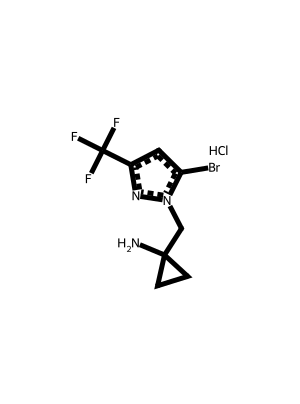 Cl.NC1(Cn2nc(C(F)(F)F)cc2Br)CC1